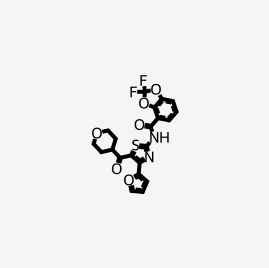 O=C(Nc1nc(-c2ccco2)c(C(=O)C2CCOCC2)s1)c1cccc2c1OC(F)(F)O2